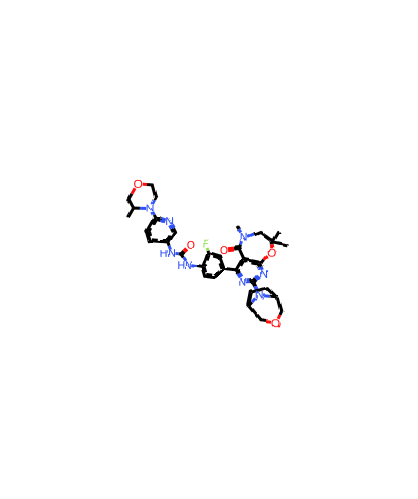 CC1COCCN1c1ccc(NC(=O)Nc2ccc(-c3nc(N4C5CCC4COC5)nc4c3C(=O)N(C)CC(C)(C)O4)cc2F)cn1